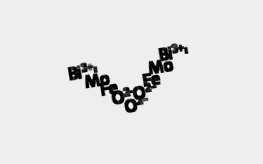 [Bi+3].[Bi+3].[Fe].[Fe].[Mo].[Mo].[O-2].[O-2].[O-2]